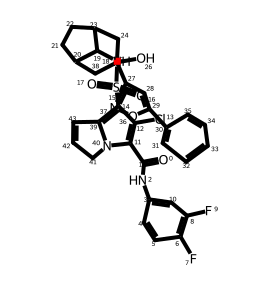 O=C(Nc1ccc(F)c(F)c1)c1c(Cl)c(S(=O)(=O)NC2C3CCC2CC(O)(c2cc(-c4ccccc4)on2)C3)c2n1CC=C2